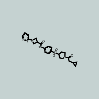 O=C(Nc1ccc(S(=O)(=O)C2CCN(C(=O)CC3CC3)CC2)cc1)C1CN(c2cccnn2)C1